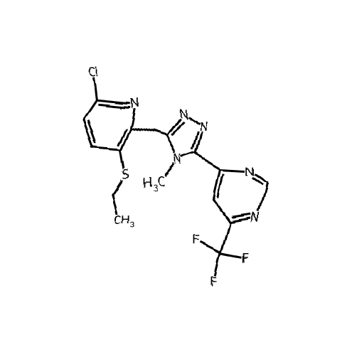 CCSc1ccc(Cl)nc1-c1nnc(-c2cc(C(F)(F)F)ncn2)n1C